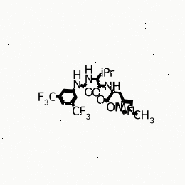 COC(=O)[C@H](Cc1cn(C)cn1)NC(=O)C(NC(=O)Nc1cc(C(F)(F)F)cc(C(F)(F)F)c1)C(C)C